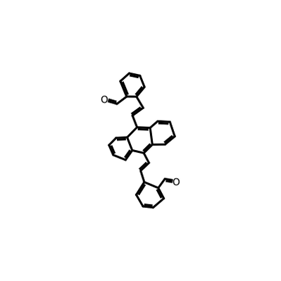 O=Cc1ccccc1/C=C/c1c2ccccc2c(/C=C/c2ccccc2C=O)c2ccccc12